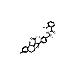 COc1ccccc1C(=O)N[C@H](C)c1ccc(-c2nn3c(c2C(N)=O)Nc2ccc(I)cc2CC3)cc1